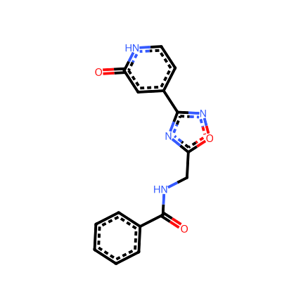 O=C(NCc1nc(-c2cc[nH]c(=O)c2)no1)c1ccccc1